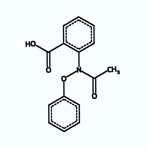 CC(=O)N(Oc1ccccc1)c1ccccc1C(=O)O